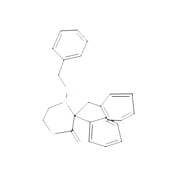 O=C1NCCN(OCc2ccccc2)C1(Cc1ccccc1)c1ccccc1